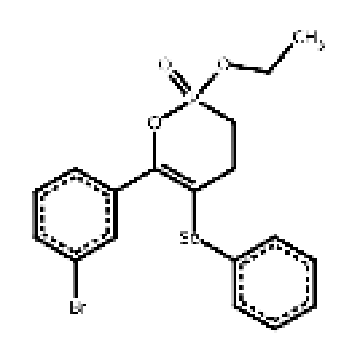 CCOP1(=O)CCC([Se]c2ccccc2)=C(c2cccc(Br)c2)O1